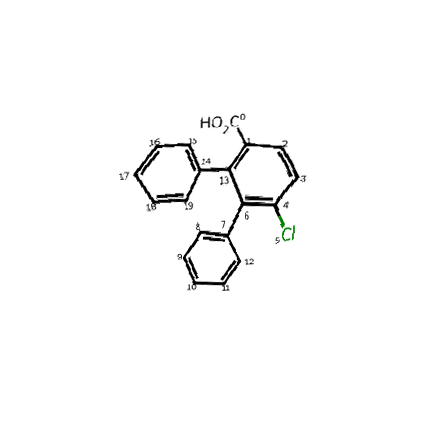 O=C(O)c1ccc(Cl)c(-c2ccccc2)c1-c1ccccc1